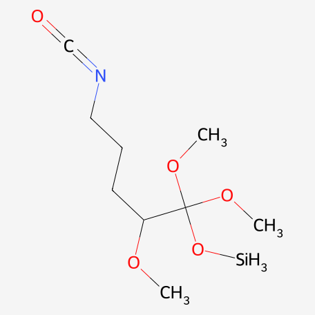 COC(CCCN=C=O)C(OC)(OC)O[SiH3]